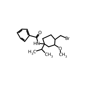 COC1CC(NC(=O)c2ccccc2)(C(C)C)CCC1CBr